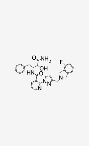 NC(=O)C(O)C(Cc1ccccc1)NC(=O)c1cccnc1-n1ccc(CN2Cc3cccc(F)c3C2)n1